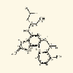 CC(C)C[C@H](CO)Nc1nc(S[C@@H](C)c2ccccc2F)nc2[nH]c(=O)sc12